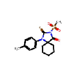 Cc1ccc(N2C(=S)N(S(C)(=O)=O)C(=O)C23CCCCC3)cc1